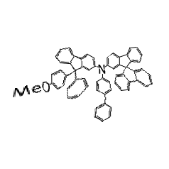 COc1ccc(C2(c3ccccc3)c3ccccc3-c3ccc(N(c4ccc(-c5ccccc5)cc4)c4ccc5c(c4)C4(c6ccccc6-c6ccccc64)c4ccccc4-5)cc32)cc1